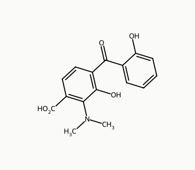 CN(C)c1c(C(=O)O)ccc(C(=O)c2ccccc2O)c1O